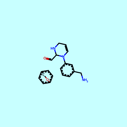 NCc1cccc(N2C=CCNC2C=O)c1.c1cc2ccc1CO2